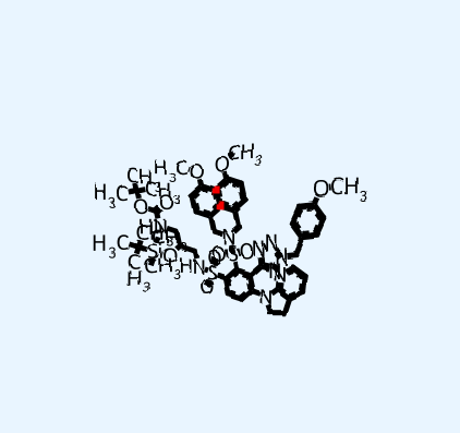 COc1ccc(CN(Cc2ccc(OC)cc2)S(=O)(=O)c2c(S(=O)(=O)NCC(CNC(=O)OC(C)(C)C)O[Si](C)(C)C(C)(C)C)ccc(N3CCc4cccnc43)c2-c2nnn(Cc3ccc(OC)cc3)n2)cc1